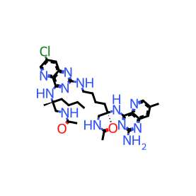 CCCC[C@](C)(CNC(C)=O)Nc1nc(NCCCC[C@](C)(CNC(C)=O)Nc2nc(N)nc3cc(C)cnc23)nc2cc(Cl)cnc12